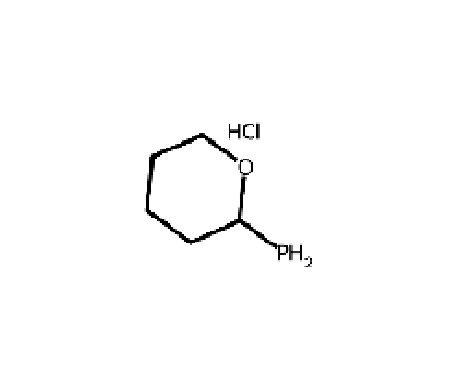 Cl.PC1CCCCO1